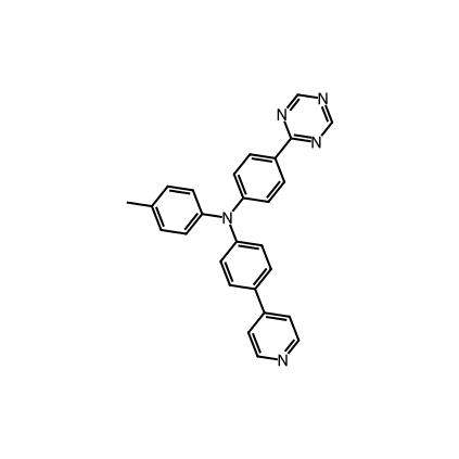 Cc1ccc(N(c2ccc(-c3ccncc3)cc2)c2ccc(-c3ncncn3)cc2)cc1